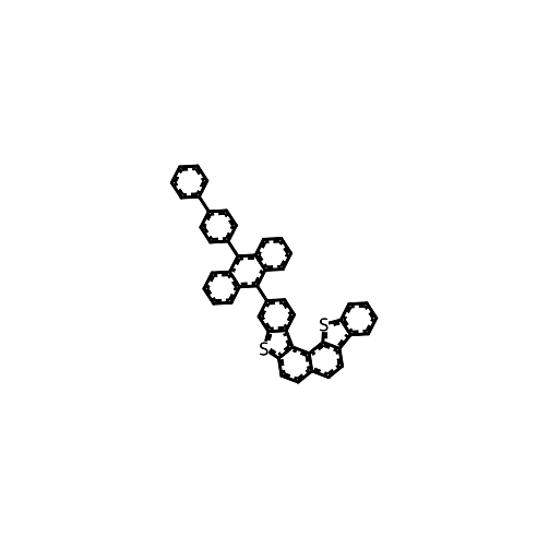 c1ccc(-c2ccc(-c3c4ccccc4c(-c4ccc5c(c4)sc4ccc6ccc7c8ccccc8sc7c6c45)c4ccccc34)cc2)cc1